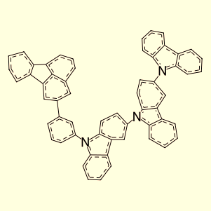 c1cc(-c2cc3c4c(cccc4c2)-c2ccccc2-3)cc(-n2c3ccccc3c3cc(-n4c5ccccc5c5cc(-n6c7ccccc7c7ccccc76)ccc54)ccc32)c1